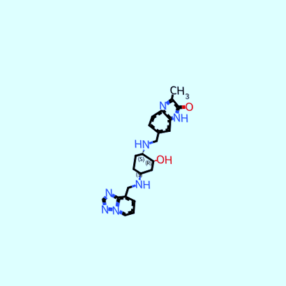 Cc1nc2ccc(CN[C@H]3CC[C@H](NCc4cccn5ncnc45)C[C@H]3O)cc2[nH]c1=O